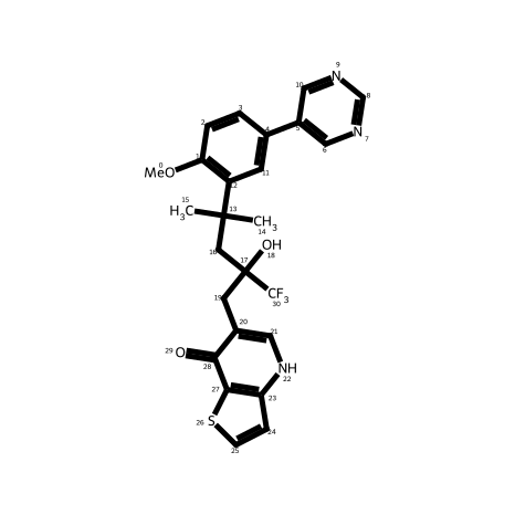 COc1ccc(-c2cncnc2)cc1C(C)(C)CC(O)(Cc1c[nH]c2ccsc2c1=O)C(F)(F)F